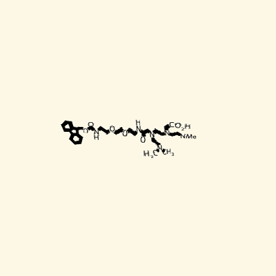 CNCCN(CCN(CCN(C)C)CC(=O)NCCOCCOCCNC(=O)OCC1c2ccccc2-c2ccccc21)CC(=O)O